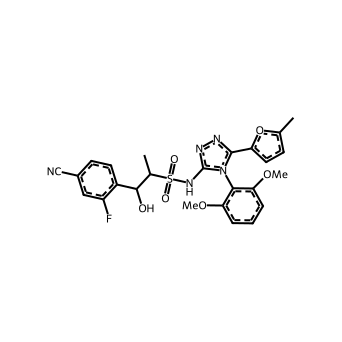 COc1cccc(OC)c1-n1c(NS(=O)(=O)C(C)C(O)c2ccc(C#N)cc2F)nnc1-c1ccc(C)o1